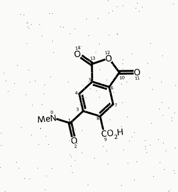 CNC(=O)c1cc2c(cc1C(=O)O)C(=O)OC2=O